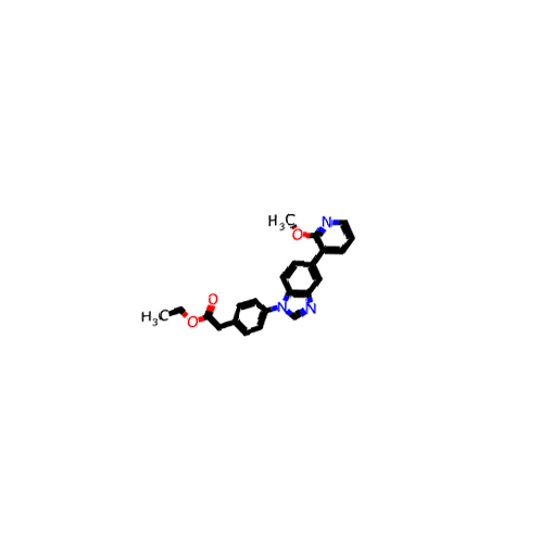 CCOC(=O)Cc1ccc(-n2cnc3cc(-c4cccnc4OC)ccc32)cc1